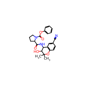 CC1(C)Oc2ccc(C#N)cc2C(NC(=O)C2CCCN2C(=O)Oc2ccccc2)C1O